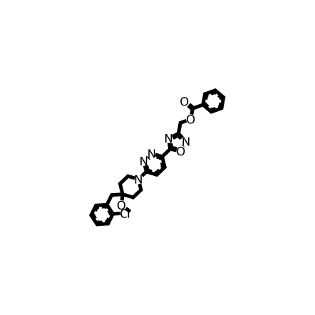 COC1(Cc2ccccc2Cl)CCN(c2ccc(-c3nc(COC(=O)c4ccccc4)no3)nn2)CC1